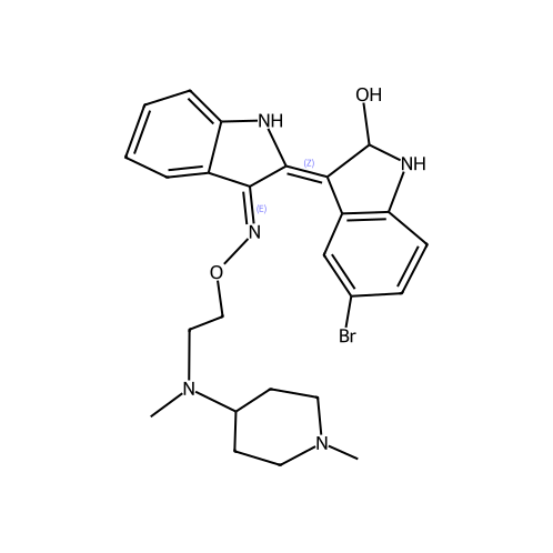 CN1CCC(N(C)CCO/N=C2/C(=C3\c4cc(Br)ccc4NC3O)Nc3ccccc32)CC1